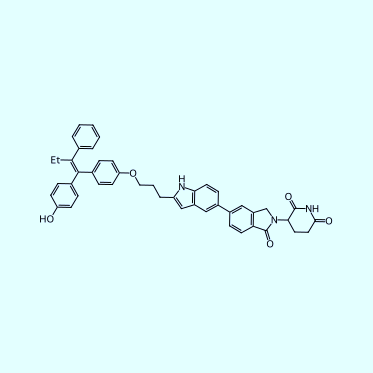 CC/C(=C(\c1ccc(O)cc1)c1ccc(OCCCc2cc3cc(-c4ccc5c(c4)CN(C4CCC(=O)NC4=O)C5=O)ccc3[nH]2)cc1)c1ccccc1